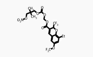 CCc1cc(OC(F)(F)F)cc2c1OC(C(F)(F)F)C(C(=O)OCOC(=O)OCC(C)(C)CO[N+](=O)[O-])=C2